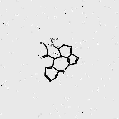 CCOC(=O)N[C@H]1CC=C2C=CC3=C2[C@H]1C(C(=O)CBr)c1ccccc1N3